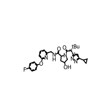 CC(C)(C)[C@@H](C(=O)N1CC(O)CC1C(=O)NCc1cccc(Oc2ccc(F)cc2)n1)n1cc(C2CC2)nn1